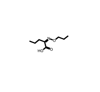 CCCON=C(CCC)C(=O)O